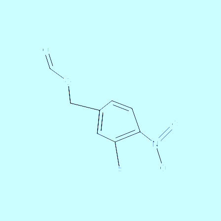 O=COCc1ccc([N+](=O)[O-])c(F)c1